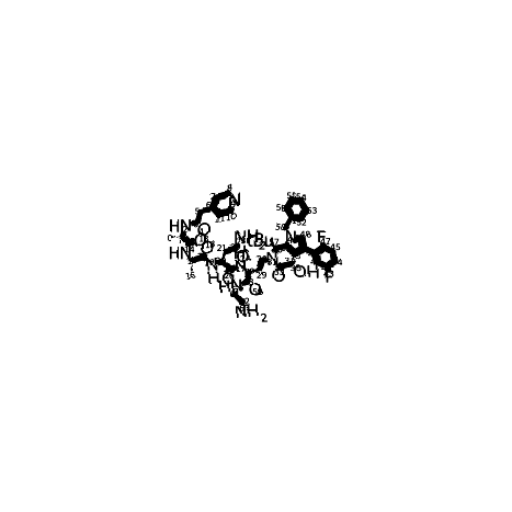 C[C@H](NC(=O)Cc1ccncc1)C(=O)N[C@@H](C)C(=O)N[C@@H](CC(N)=O)C(=O)N[C@@H](CCN(C(=O)CO)[C@@H](c1cc(-c2cc(F)ccc2F)cn1Cc1ccccc1)C(C)(C)C)C(=O)NCCN